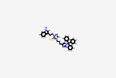 SC1N(CCCc2cn(C(c3ccccc3)(c3ccccc3)c3ccccc3)cn2)C=NN1CCc1c[nH]c2ccccc12